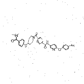 C=C(/C=N\C(=C/C)C(=O)N1CCC(Oc2ccc(C(=O)N(C)C)cc2)CC1)C(=O)Nc1ccc(Oc2ccc(C(C)=O)cc2)nc1